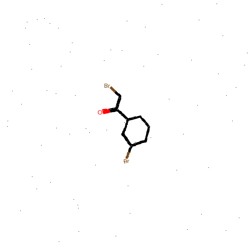 O=C(CBr)C1CCCC(Br)C1